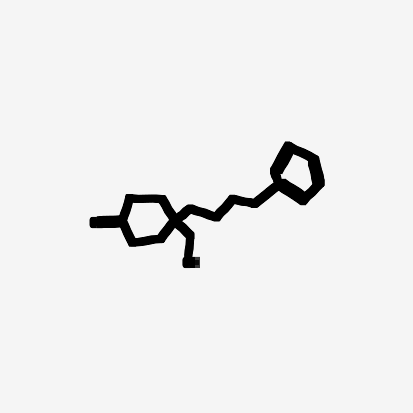 O=C1CCC(CO)(CCCCc2ccccc2)CC1